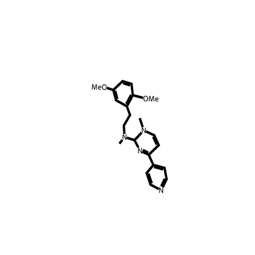 COc1ccc(OC)c(CCN(C)C2N=C(c3ccncc3)C=CN2C)c1